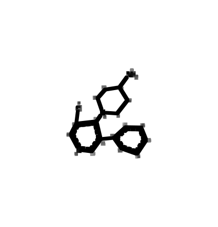 NC1CCN(c2c(Cl)cncc2-c2ccccc2)CC1